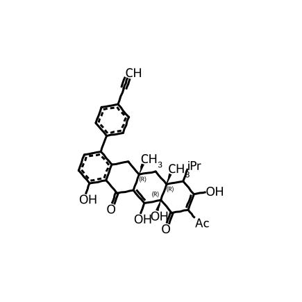 C#Cc1ccc(-c2ccc(O)c3c2C[C@]2(C)C[C@]4(C)C(C(C)C)C(O)=C(C(C)=O)C(=O)[C@]4(O)C(O)=C2C3=O)cc1